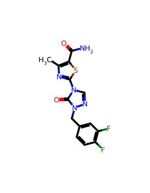 Cc1nc(-n2cnn(Cc3ccc(F)c(F)c3)c2=O)sc1C(N)=O